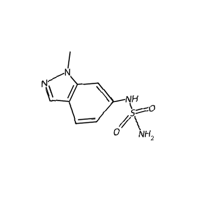 Cn1ncc2ccc(NS(N)(=O)=O)cc21